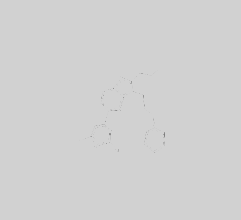 CCCc1nc2ccc(-c3cc(N)nc(N)c3)nc2n1CCOc1ccccc1